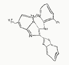 Cc1cc(C)n2c(Nc3c(C)cccc3C)c(-c3cc4ccccc4o3)nc2c1